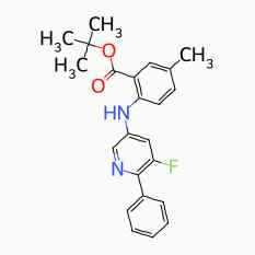 Cc1ccc(Nc2cnc(-c3ccccc3)c(F)c2)c(C(=O)OC(C)(C)C)c1